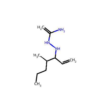 C=CC(NNC(=C)N)C(C)CCC